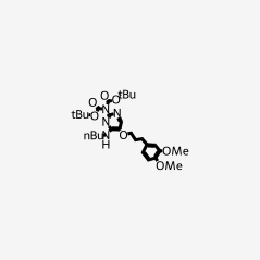 CCCCNc1nc(N(C(=O)OC(C)(C)C)C(=O)OC(C)(C)C)ncc1OCCCc1ccc(OC)c(OC)c1